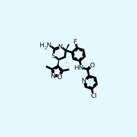 Cc1noc(C)c1[C@@H]1C[C@@](C)(c2cc(NC(=O)c3ccc(Cl)cn3)ccc2F)N=C(N)S1